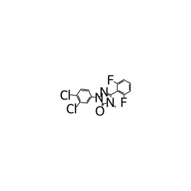 Cn1c(-c2c(F)cccc2F)nn(-c2ccc(Cl)c(Cl)c2)c1=O